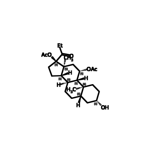 CCC(=O)[C@@]1(OC(C)=O)CC[C@H]2[C@@H]3CC[C@H]4C[C@@H](O)CC[C@]4(C)[C@H]3[C@@H](OC(C)=O)C[C@@]21C